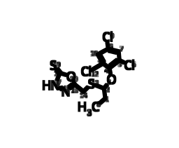 CCC(Oc1c(Cl)cc(Cl)cc1Cl)SCc1n[nH]c(=S)o1